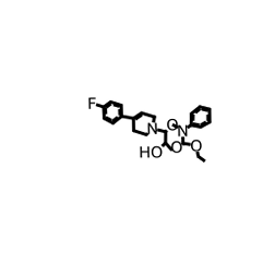 CCOC(=O)N(OC(C(C)O)N1CC=C(c2ccc(F)cc2)CC1)c1ccccc1